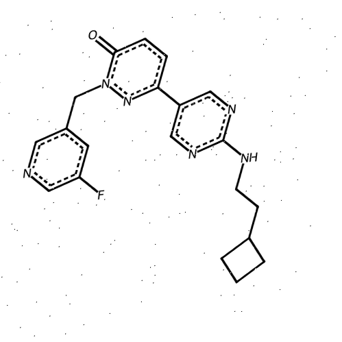 O=c1ccc(-c2cnc(NCCC3CCC3)nc2)nn1Cc1cncc(F)c1